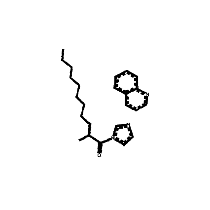 CCCCCCCCCC(C)C(=O)n1ccnc1.c1ccc2ncccc2c1